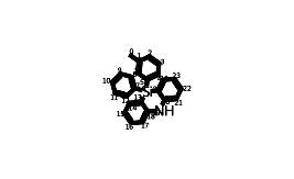 Cc1cccc([Si]2(c3ccccc3)c3ccccc3Nc3ccccc32)c1